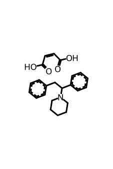 O=C(O)/C=C\C(=O)O.c1ccc(CC(c2ccccc2)N2CCCCC2)cc1